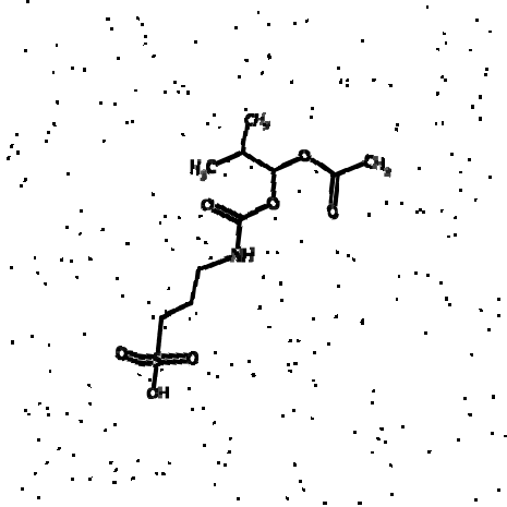 CC(=O)OC(OC(=O)NCCCS(=O)(=O)O)C(C)C